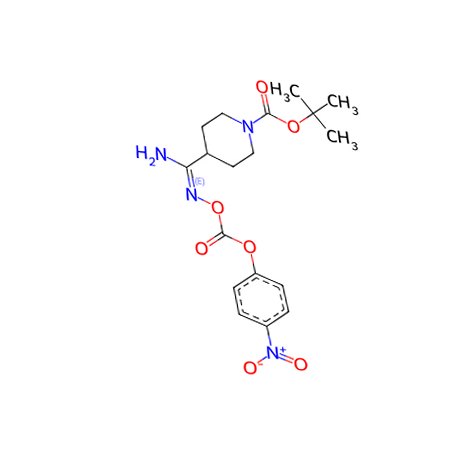 CC(C)(C)OC(=O)N1CCC(/C(N)=N\OC(=O)Oc2ccc([N+](=O)[O-])cc2)CC1